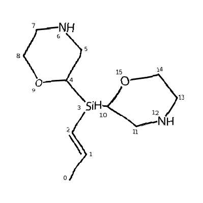 CC=C[SiH](C1CNCCO1)C1CNCCO1